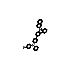 Fc1ccc(N(c2ccccc2)c2ccc(-c3ccc4c(c3)c3ccccc3n4-c3ccc4ccccc4c3)cc2)cc1